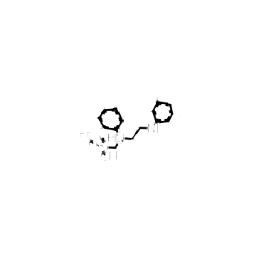 CCO[Si](C)(C)CN(CCNc1ccccc1)c1ccccc1